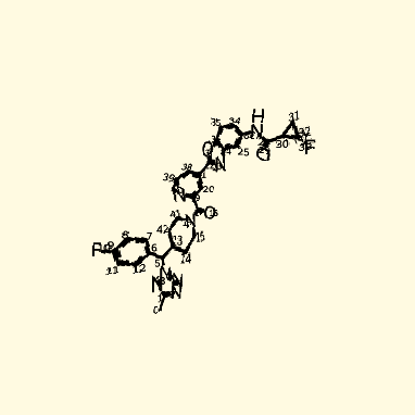 Cc1nnn(C(c2ccc(F)cc2)C2CCN(C(=O)c3cc(-c4nc5cc(NC(=O)C6C[C@@H]6F)ccc5o4)ccn3)CC2)n1